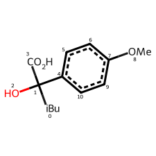 CCC(C)C(O)(C(=O)O)c1ccc(OC)cc1